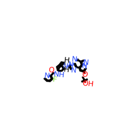 CC(C)(O)COc1cc(-c2cnc(N3[C@@H]4CC5C[C@H]3CC(NC(=O)c3ncccc3F)(C5)C4)cn2)c2c(C#N)cnn2c1